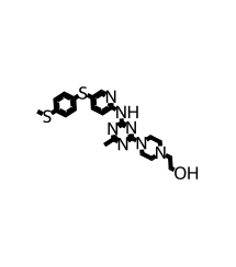 CSc1ccc(Sc2ccc(Nc3nc(C)nc(N4CCN(CCO)CC4)n3)nc2)cc1